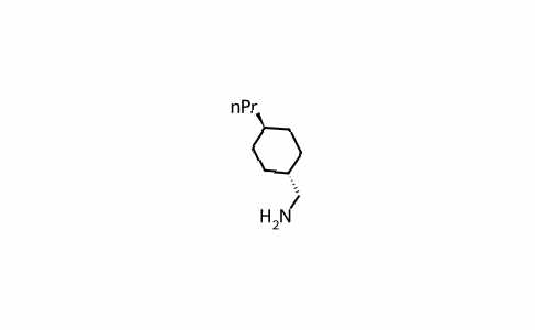 CCC[C@H]1CC[C@H](CN)CC1